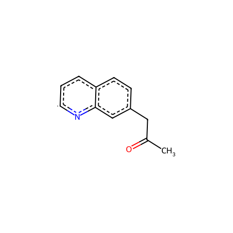 CC(=O)Cc1ccc2cc[c]nc2c1